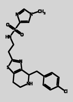 Cn1cnc(S(=O)(=O)NCCc2nc3c(s2)CCNC3Cc2ccc(Cl)cc2)c1